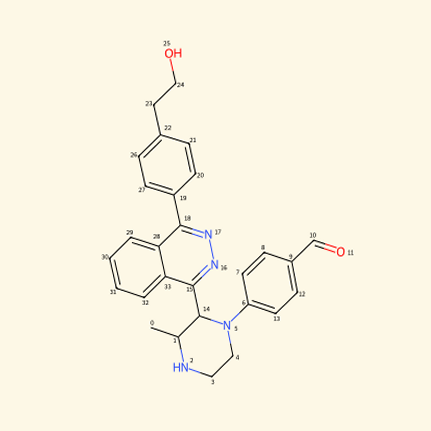 CC1NCCN(c2ccc(C=O)cc2)C1c1nnc(-c2ccc(CCO)cc2)c2ccccc12